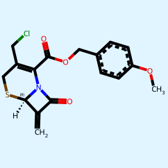 C=C1C(=O)N2C(C(=O)OCc3ccc(OC)cc3)=C(CCl)CS[C@H]12